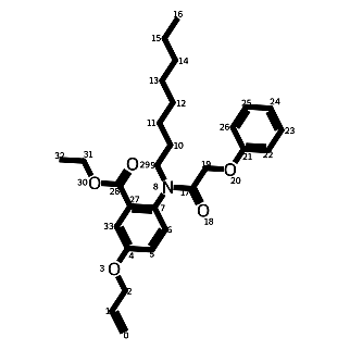 C=CCOc1ccc(N(CCCCCCCC)C(=O)COc2ccccc2)c(C(=O)OCC)c1